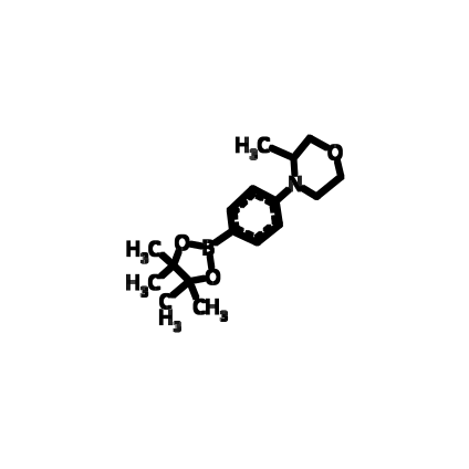 CC1COCCN1c1ccc(B2OC(C)(C)C(C)(C)O2)cc1